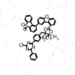 CC1(C)OB(c2cccc3oc4ccc(-c5cccc6c5-c5ccccc5S6(=O)=O)cc4c23)OC1(C)Cc1ccc(-c2nc(Cl)nc(-c3ccccc3)n2)cc1